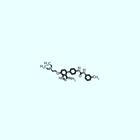 CCN(CC)CCOc1ccc(-c2ccc(NC(=O)Nc3cccc(C)c3)cc2)c2c(N)n[nH]c12